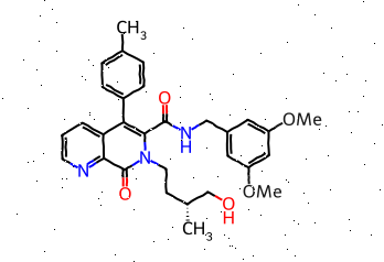 COc1cc(CNC(=O)c2c(-c3ccc(C)cc3)c3cccnc3c(=O)n2CC[C@@H](C)CO)cc(OC)c1